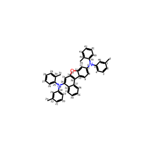 Cc1cccc(N(c2ccc3c(c2)oc2cc(N(c4cccc(C)c4)c4ccccc4C)c4ccccc4c23)c2ccccc2C)c1